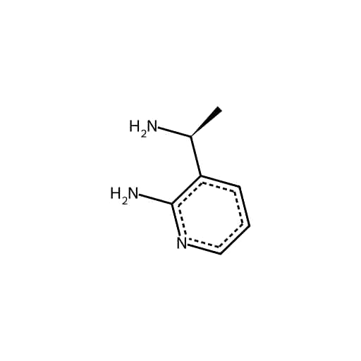 C[C@H](N)c1cccnc1N